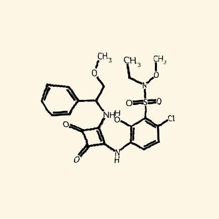 CCN(OC)S(=O)(=O)c1c(Cl)ccc(Nc2c(NC(COC)c3ccccc3)c(=O)c2=O)c1O